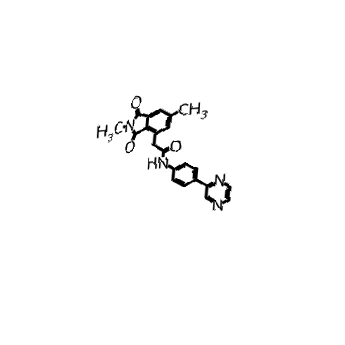 Cc1cc(CC(=O)Nc2ccc(-c3cnccn3)cc2)c2c(c1)C(=O)N(C)C2=O